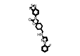 O=C1OC2(CCC(CNc3ccn(-c4ccccc4F)n3)CC2)CN1c1ccc2nsnc2c1